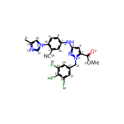 COC(=O)c1cc(Nc2ccc(-n3cnc(C)c3)c(C#N)c2)nn1Cc1cc(F)c(F)c(F)c1